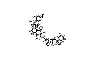 Cc1cc(F)ccc1Nc1nc2ccc3c(C)c(C=CCNC(=O)[C@H]4CC[P@](=O)(c5ccccc5)CC4)[nH]c(=O)c3c2n1C